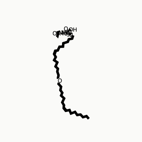 C1CO1.CCCCCCCC/C=C\CCCCCCCCOCCCCCCCC/C=C\CCCCCCCC.N.N.O=S(=O)(O)O